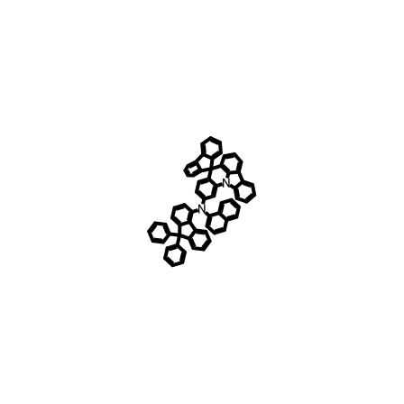 c1ccc(C2(c3ccccc3)c3ccccc3-c3c(N(c4ccc5c(c4)-n4c6ccccc6c6cccc(c64)C54c5ccccc5-c5ccccc54)c4cccc5ccccc45)cccc32)cc1